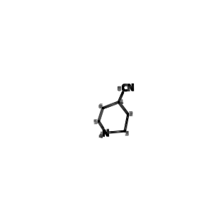 N#CC1CC[N]CC1